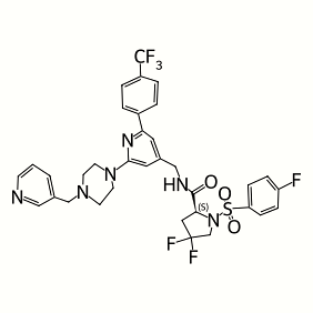 O=C(NCc1cc(-c2ccc(C(F)(F)F)cc2)nc(N2CCN(Cc3cccnc3)CC2)c1)[C@@H]1CC(F)(F)CN1S(=O)(=O)c1ccc(F)cc1